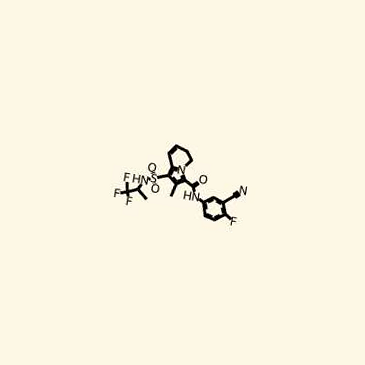 Cc1c(S(=O)(=O)NC(C)C(F)(F)F)c2n(c1C(=O)Nc1ccc(F)c(C#N)c1)CCC=C2